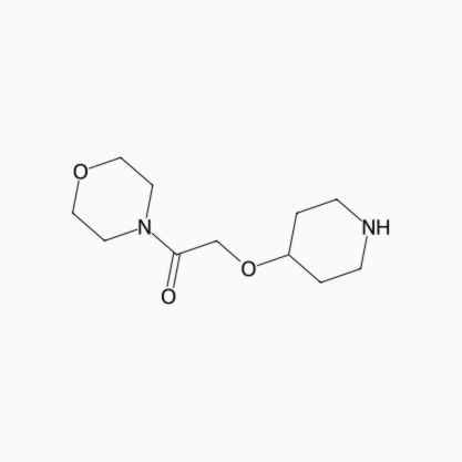 O=C(COC1CCNCC1)N1CCOCC1